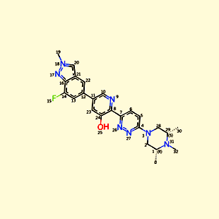 C[C@@H]1CN(c2ccc(-c3ncc(-c4cc(F)c5nn(C)cc5c4)cc3O)nn2)C[C@H](C)N1C